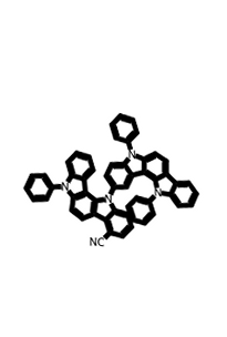 N#Cc1cccc2c1c1ccc3c(c4ccccc4n3-c3ccccc3)c1n2-c1ccc2c(c1)c1c(ccc3c4ccccc4n(-c4ccccc4)c31)n2-c1ccccc1